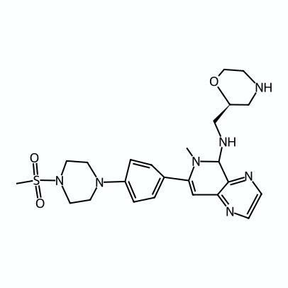 CN1C(c2ccc(N3CCN(S(C)(=O)=O)CC3)cc2)=Cc2nccnc2C1NC[C@@H]1CNCCO1